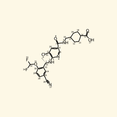 C[C@H](Nc1ncc(C(=O)NCC2CCC(C(=O)O)CC2)cc1Cl)c1cc(C#N)ccc1OC(F)F